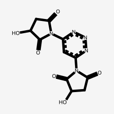 O=C1CC(O)C(=O)N1c1cc(N2C(=O)CC(O)C2=O)nnn1